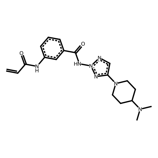 C=CC(=O)Nc1cccc(C(=O)Nn2ncc(N3CCC(N(C)C)CC3)n2)c1